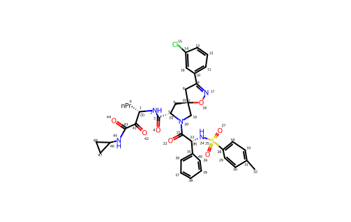 CCC[C@H](NC(=O)[C@@H]1C[C@]2(CC(c3cccc(Cl)c3)=NO2)CN1C(=O)[C@H](NS(=O)(=O)c1ccc(C)cc1)c1ccccc1)C(=O)C(=O)NC1CC1